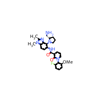 COc1cccc(F)c1-n1cccc(C(=O)Nc2ccc3c(nc(C)n3C)c2N2CCC[C@H]2CN)c1=O